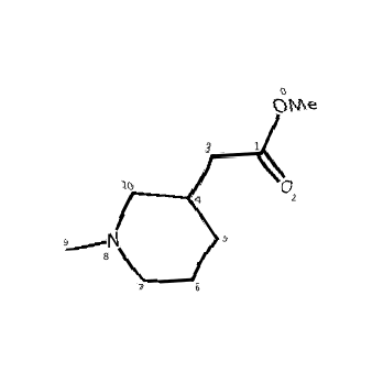 COC(=O)CC1CCCN(C)C1